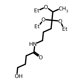 CCOC(C)C(CCCNC(=O)CCCO)(OCC)OCC